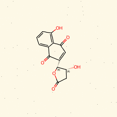 O=C1C[C@@H](O)[C@@H](C2=CC(=O)c3c(O)cccc3C2=O)O1